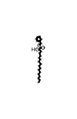 CCCCCCCCCCCCCCCCC(O)C(=O)OCc1ccccc1